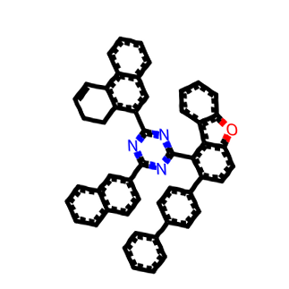 C1=Cc2c(c(-c3nc(-c4ccc5ccccc5c4)nc(-c4c(-c5ccc(-c6ccccc6)cc5)ccc5oc6ccccc6c45)n3)cc3ccccc23)CC1